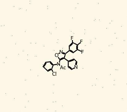 CC(=O)N(c1ccccc1Cl)c1onc(-c2cc(F)c(F)c(F)c2)c1-c1ccncc1